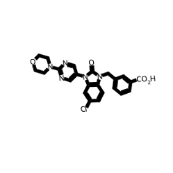 O=C(O)c1cccc(Cn2c(=O)n(-c3cnc(N4CCOCC4)nc3)c3cc(Cl)ccc32)c1